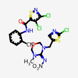 CN1COCN(Cc2cnc(Cl)s2)/C1=N/[N+](=O)[O-].N#Cc1ccccc1NC(=O)c1snc(Cl)c1Cl